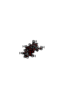 O=C(O)CNC(=O)[C@@H]1CCCN1C(=O)[C@@H]1C[C@@H](O)CN1C(=O)CNC(=O)[C@@H]1CCCN1C(=O)[C@@H]1C[C@@H](O)CN1C(=O)CNC(=O)[C@H](CS)NC(=O)[C@@H]1C[C@@H](O)CN1C(=O)CNC(=O)[C@@H]1CCCN1C(=O)[C@@H]1C[C@@H](O)CN1C(=O)CNC(=O)[C@@H]1CCCN1C(=O)[C@@H]1C[C@@H](O)CN1C(=O)CNC(=O)[C@@H]1CCCN1C(=O)[C@@H]1C[C@@H](O)CN1C(=O)CNC(=O)[C@@H]1CCCN1C(=O)[C@@H]1C[C@@H](O)CN1